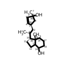 C[C@H](C[C@H]1C=C[C@](C)(O)C1)[C@H]1CCC2C(O)CCC[C@]21C